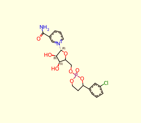 NC(=O)c1ccc[n+]([C@@H]2OC(COP3(=O)OCCC(c4cccc(Cl)c4)O3)[C@@H](O)[C@H]2O)c1